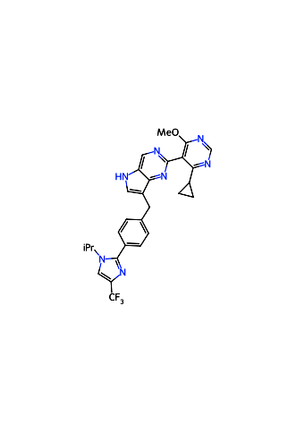 COc1ncnc(C2CC2)c1-c1ncc2[nH]cc(Cc3ccc(-c4nc(C(F)(F)F)cn4C(C)C)cc3)c2n1